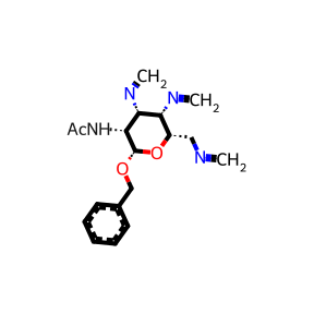 C=NC[C@@H]1O[C@H](OCc2ccccc2)[C@H](NC(C)=O)[C@H](N=C)[C@@H]1N=C